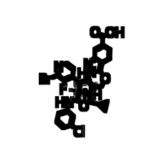 C[C@]1(C(=O)Nc2cccc(Cl)c2)[C@@H](c2ccnc(Br)c2F)[C@H]2[C@H](COc3c4ccc(C(=O)O)cc4nn32)N1CC1CC1